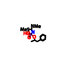 CNC(=NP(=O)(O)OC(C)Cc1ccccc1)SC